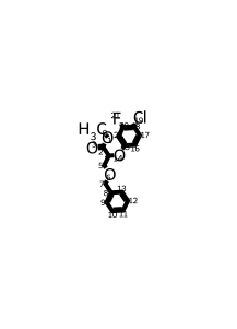 COC(=O)C(COCc1ccccc1)Oc1ccc(Cl)c(F)c1